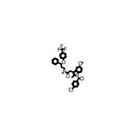 COc1ccc2c(c1)c(CC(=O)N(C)CCC(Oc1ccc(C(F)(F)F)cc1)c1ccccc1)c(C)n2C(=O)c1ccc(Cl)cc1